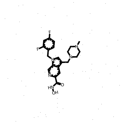 CN1CCN(Cc2cn(Cc3ccc(F)cc3F)c3cnc(C(=O)NO)cc23)CC1